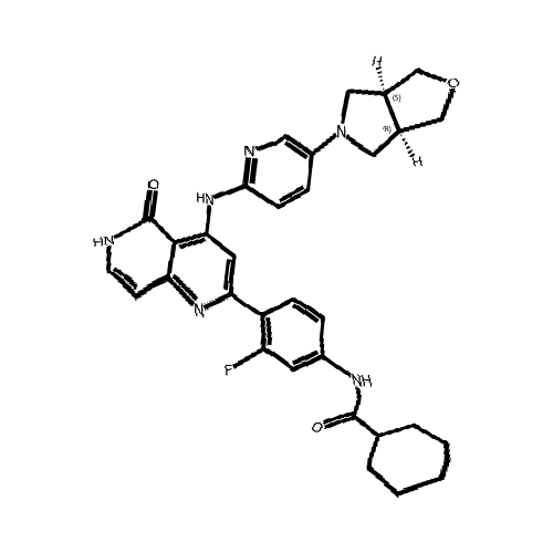 O=C(Nc1ccc(-c2cc(Nc3ccc(N4C[C@H]5COC[C@H]5C4)cn3)c3c(=O)[nH]ccc3n2)c(F)c1)C1CCCCC1